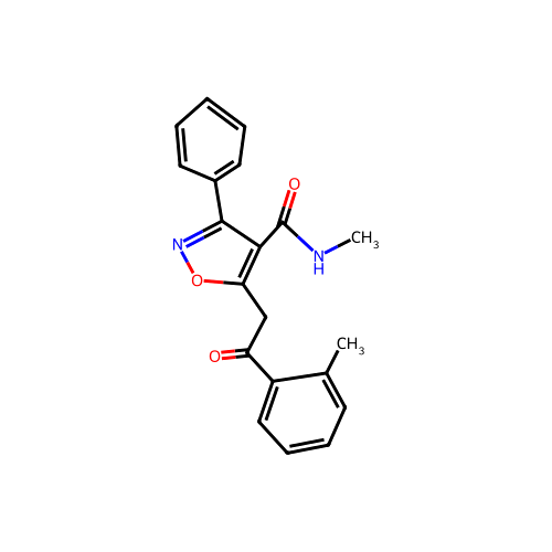 CNC(=O)c1c(-c2ccccc2)noc1CC(=O)c1ccccc1C